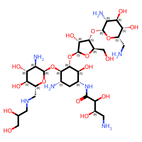 NC[C@@H](O)C(O)C(=O)N[C@@H]1C[C@H](N)[C@@H](O[C@H]2O[C@H](CNCC(O)CO)[C@@H](O)[C@H](O)[C@H]2N)[C@H](O[C@@H]2O[C@H](CO)[C@@H](O[C@H]3O[C@@H](CN)[C@@H](O)[C@H](O)[C@H]3N)[C@H]2O)[C@H]1O